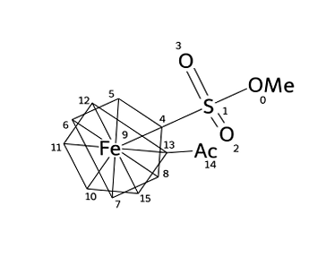 COS(=O)(=O)[C]12[CH]3[CH]4[CH]5[CH]1[Fe]45321678[CH]2[CH]1[CH]6[C]7(C(C)=O)[CH]28